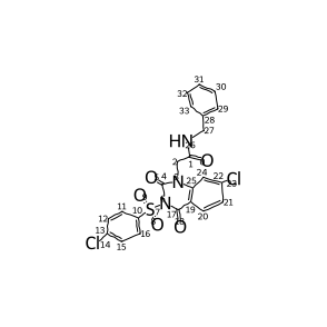 O=C(Cn1c(=O)n(S(=O)(=O)c2ccc(Cl)cc2)c(=O)c2ccc(Cl)cc21)NCc1ccccc1